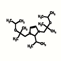 CC(C)OC(C)(C)CN1C=CN(CC(C)(C)OC(C)C)C1C(C)C